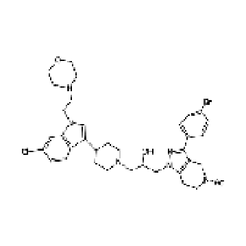 CC(=O)N1CCc2c(c(-c3ccc(Br)cc3)nn2CC(O)CN2CCC(c3cn(CCN4CCOCC4)c4cc(Cl)ccc34)CC2)C1